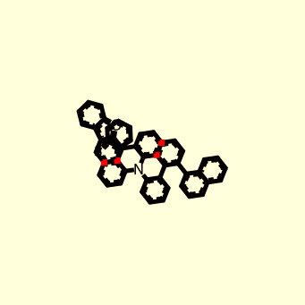 c1ccc(-c2cccc3ccccc23)c(-c2ccccc2N(c2ccccc2-c2cccc3c2oc2ccccc23)c2cccc3sc4ccccc4c23)c1